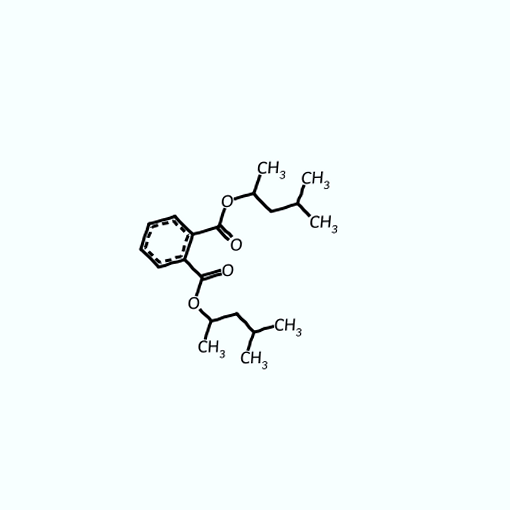 CC(C)CC(C)OC(=O)c1ccccc1C(=O)OC(C)CC(C)C